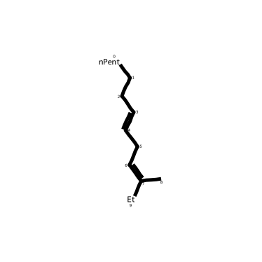 [CH2]CCCCCCC=CCC=C(C)CC